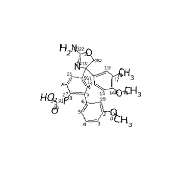 COc1cccc(-c2cc(C3(c4ccc(OC)c(C)c4)COC(N)=N3)ccc2F)c1.O=CO